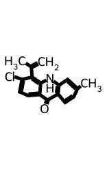 C=C(C)c1c(Cl)ccc2c(=O)c3ccc(C)cc3[nH]c12